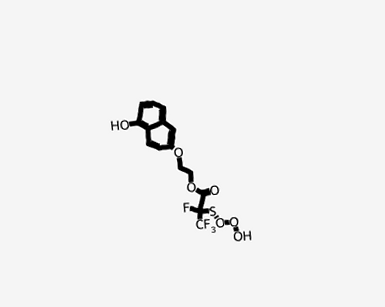 O=C(OCCOc1ccc2c(O)cccc2c1)C(F)(SOOO)C(F)(F)F